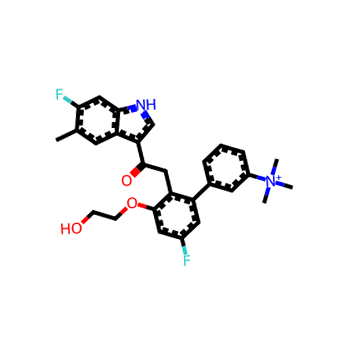 Cc1cc2c(C(=O)Cc3c(OCCO)cc(F)cc3-c3cccc([N+](C)(C)C)c3)c[nH]c2cc1F